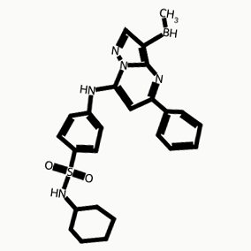 CBc1cnn2c(Nc3ccc(S(=O)(=O)NC4CCCCC4)cc3)cc(-c3ccccc3)nc12